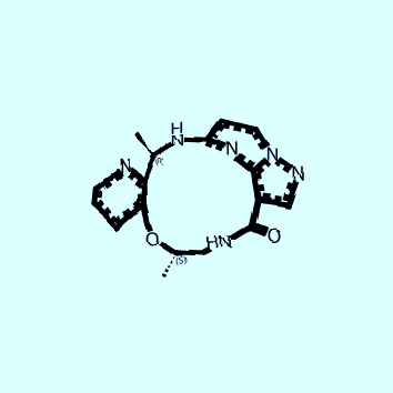 C[C@H]1CNC(=O)c2cnn3ccc(nc23)N[C@H](C)c2ncccc2O1